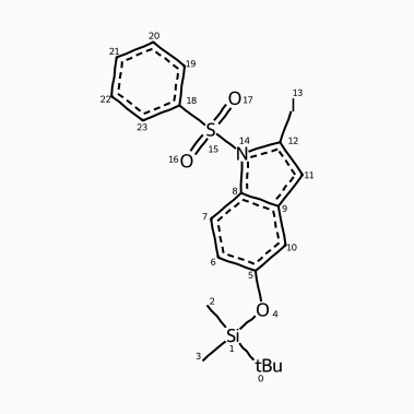 CC(C)(C)[Si](C)(C)Oc1ccc2c(c1)cc(I)n2S(=O)(=O)c1ccccc1